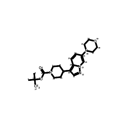 CC(C)(OC(=O)N1CCC(c2cnn3cc(N4CCOCC4)ccc23)CC1)C(F)(F)F